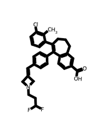 Cc1c(Cl)cccc1C1=C(c2ccc(C=C3CN(CCC(F)F)C3)cc2)c2ccc(C(=O)O)cc2CCC1